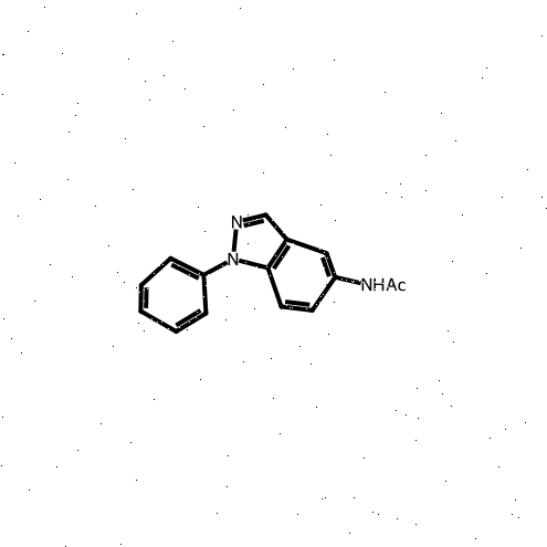 CC(=O)Nc1ccc2c(cnn2-c2ccccc2)c1